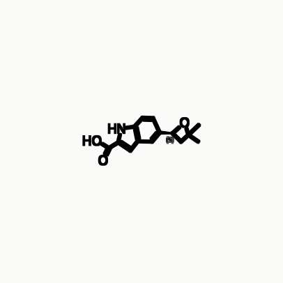 CC1(C)C[C@@H](c2ccc3[nH]c(C(=O)O)cc3c2)O1